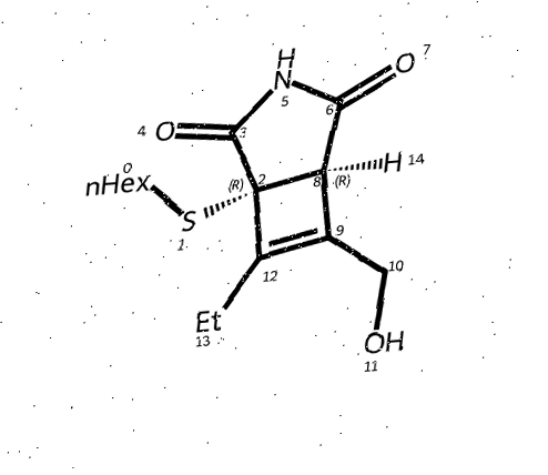 CCCCCCS[C@]12C(=O)NC(=O)[C@H]1C(CO)=C2CC